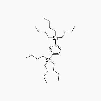 CCC[CH2][Sn]([CH2]CCC)([CH2]CCC)[c]1cc[c]([Sn]([CH2]CCC)([CH2]CCC)[CH2]CCC)s1